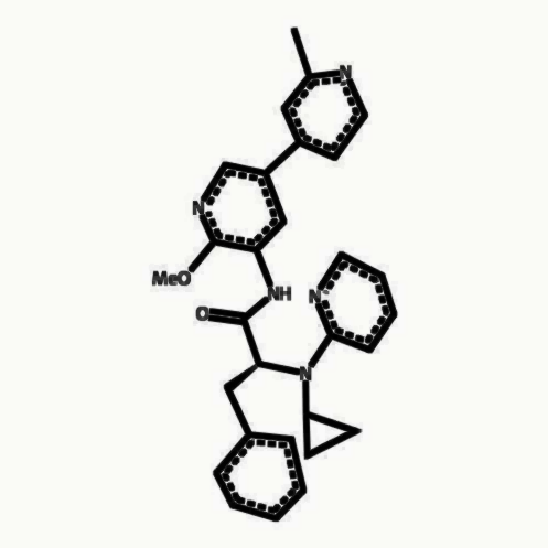 COc1ncc(-c2ccnc(C)c2)cc1NC(=O)[C@H](Cc1ccccc1)N(c1ccccn1)C1CC1